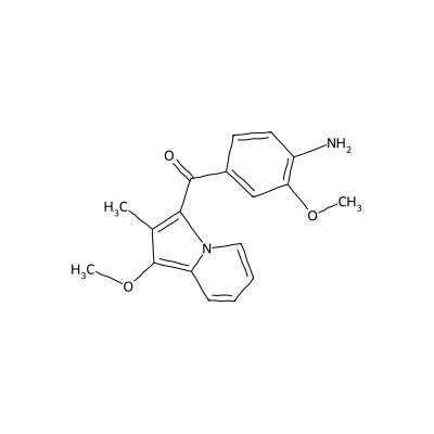 COc1cc(C(=O)c2c(C)c(OC)c3ccccn23)ccc1N